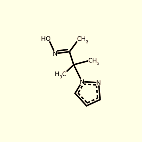 C/C(=N\O)C(C)(C)n1cccn1